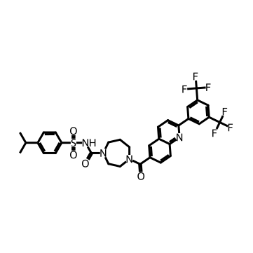 CC(C)c1ccc(S(=O)(=O)NC(=O)N2CCCN(C(=O)c3ccc4nc(-c5cc(C(F)(F)F)cc(C(F)(F)F)c5)ccc4c3)CC2)cc1